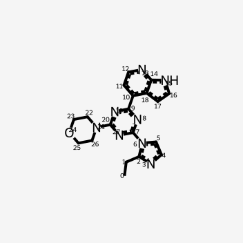 CCc1nccn1-c1nc(-c2ccnc3[nH]ccc23)nc(N2CCOCC2)n1